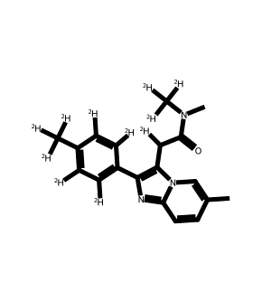 [2H]c1c([2H])c(C([2H])([2H])[2H])c([2H])c([2H])c1-c1nc2ccc(C)cn2c1C([2H])C(=O)N(C)C([2H])([2H])[2H]